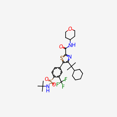 CC(C)(C)NS(=O)(=O)c1ccc(-c2sc(C(=O)NC3CCOCC3)nc2C(C)(C)C2CCCCC2)cc1C(F)(F)F